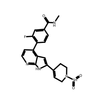 CNC(=O)c1ccc(-c2ccnc3[nH]c(C4=CCN([SH](=O)=O)CC4)cc23)c(F)c1